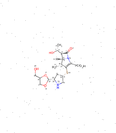 C[C@@H](O)[C@H]1C(=O)N2C(C(=O)O)=C(S[C@@H]3CN[C@H](C4OCC(CO)O4)C3)[C@H](C)[C@H]12